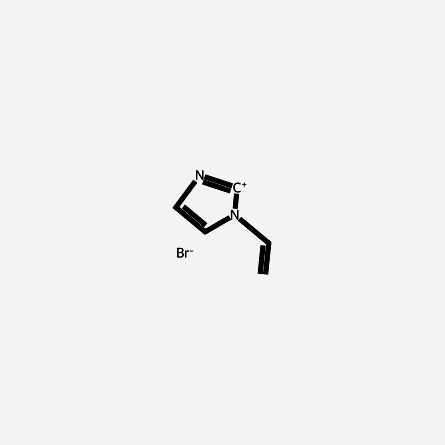 C=CN1[C+]=NC=C1.[Br-]